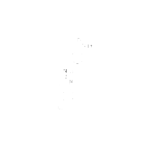 CCN(CC)c1ccc(-c2cn3c(n2)sc2cc(O)ccc23)cc1